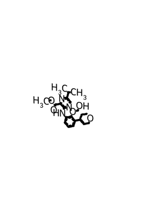 COC(=O)c1nc(C(C)C)cnc1Nc1cccc(C2=CCOCC2)c1OCO